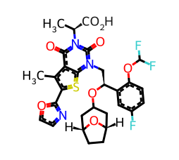 Cc1c(-c2ncco2)sc2c1c(=O)n([C@@H](C)C(=O)O)c(=O)n2C[C@H](OC1C[C@H]2CC[C@@H](C1)O2)c1cc(F)ccc1OC(F)F